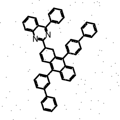 C1=CC(c2nc(-c3ccccc3)c3ccccc3n2)Cc2c1c(-c1cccc(-c3ccccc3)c1)c1ccccc1c2-c1ccc(-c2ccccc2)cc1